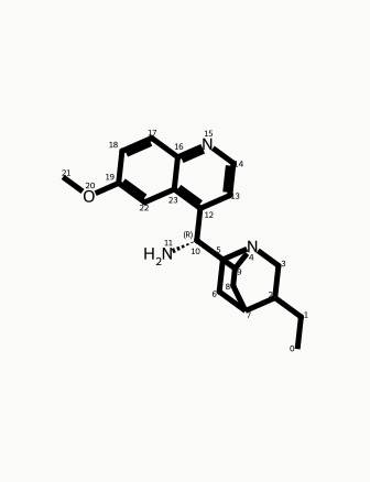 CCC1CN2CCC1CC2[C@H](N)c1ccnc2ccc(OC)cc12